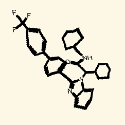 O=C(NC1CCCCC1)C(C1CCCCC1)n1c(-c2ccc(-c3ccc(C(F)(F)F)cc3)cc2)nc2ccccc21